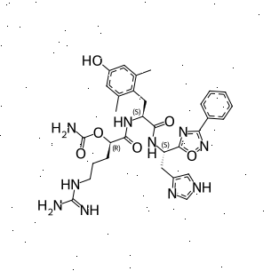 Cc1cc(O)cc(C)c1C[C@H](NC(=O)[C@@H](CCCNC(=N)N)OC(N)=O)C(=O)N[C@@H](Cc1c[nH]cn1)c1nc(-c2ccccc2)no1